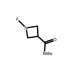 CNC(=O)C1CN(F)C1